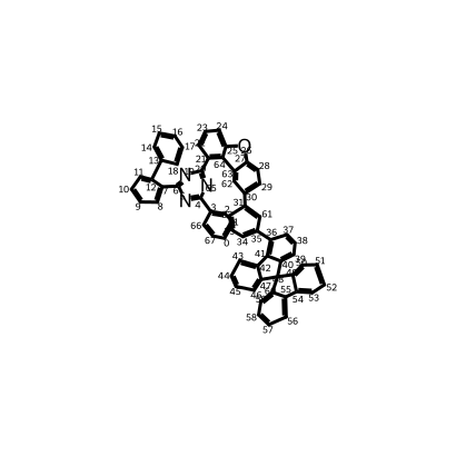 c1ccc(-c2nc(-c3ccccc3-c3ccccc3)nc(-c3cccc4oc5ccc(-c6cccc(-c7cccc8c7-c7ccccc7C87c8ccccc8-c8ccccc87)c6)cc5c34)n2)cc1